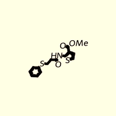 COC(=O)c1ccsc1NC(=O)CCSc1ccccc1